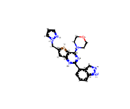 c1cc(-c2nc(N3CCOCC3)c3sc(Cn4cccn4)cc3n2)c2cn[nH]c2c1